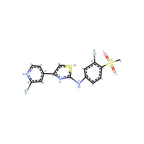 CS(=O)(=O)c1ccc(Nc2nc(-c3ccnc(Cl)c3)cs2)cc1Cl